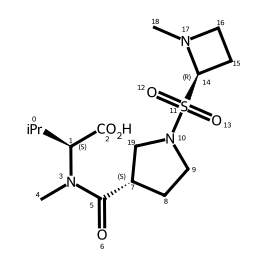 CC(C)[C@@H](C(=O)O)N(C)C(=O)[C@H]1CCN(S(=O)(=O)[C@@H]2CCN2C)C1